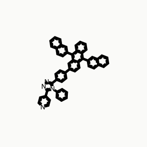 c1ccc(-n2c(-c3ccncc3)nnc2-c2ccc(-c3ccc4c(-c5ccc6ccccc6c5)c5ccccc5c(-c5ccc6ccccc6c5)c4c3)cc2)cc1